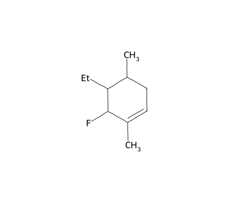 CCC1C(C)CC=C(C)C1F